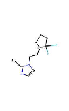 CC(C)c1nccn1CC[C@H]1[CH]CCC1(F)F